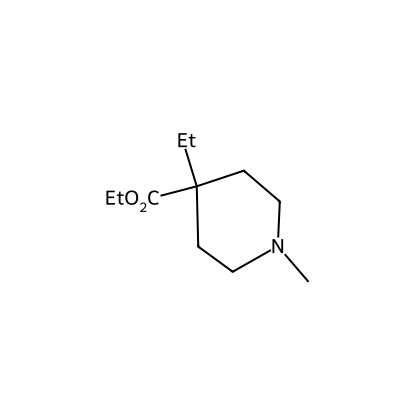 CCOC(=O)C1(CC)CCN(C)CC1